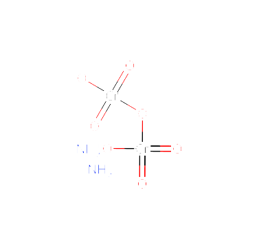 [NH4+].[NH4+].[O]=[Cr](=[O])([O-])[O][Cr](=[O])(=[O])[O-]